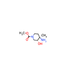 COC(=O)N1CC[C@@](C)(N)[C@H](O)C1